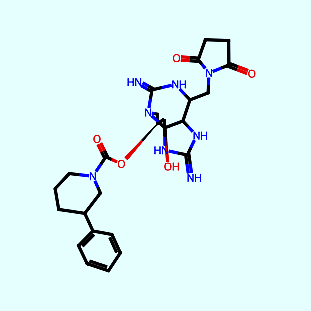 N=C1NC2C(CN3C(=O)CCC3=O)NC(=N)N3C[C@H](OC(=O)N4CCCC(c5ccccc5)C4)C(O)C23N1